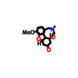 COc1ccc2c3c1O[C@H]1CC(=O)C[C@H](OCN(C)C2)C31